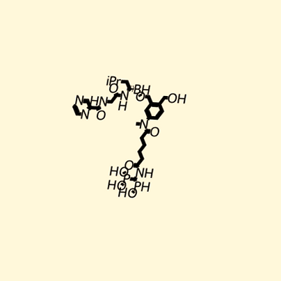 CC(C)C[C@H](BOCc1cc(N(C)C(=O)CCCCC(=O)NC(PO)P(O)O)ccc1CO)NC(=O)CNC(=O)c1cnccn1